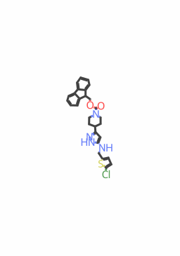 O=C(OCC1c2ccccc2-c2ccccc21)N1CCC(c2cc(NCc3ccc(Cl)s3)[nH]n2)CC1